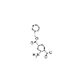 Nc1cc(C(=O)OCc2ccccc2)ccc1C(=O)Cl